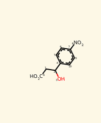 O=C(O)CC(O)c1ccc([N+](=O)[O-])cc1